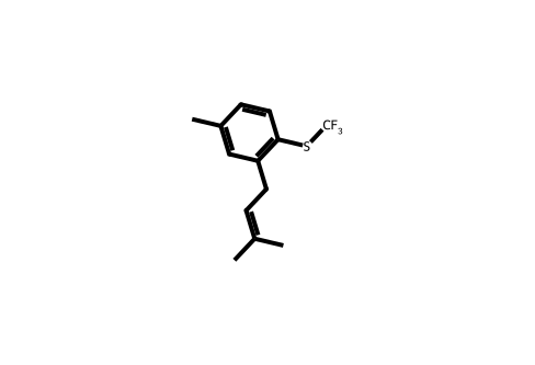 CC(C)=CCc1cc(C)ccc1SC(F)(F)F